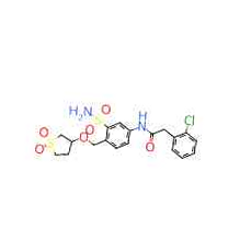 NS(=O)(=O)c1cc(NC(=O)Cc2ccccc2Cl)ccc1COC1CCS(=O)(=O)C1